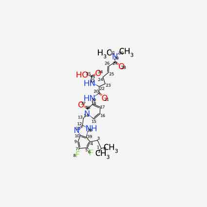 CC(C)Cc1c(F)c(F)cc2nc(Cn3cccc(NC(=O)C(CC/C=C/C(=O)N(C)C)NC(=O)O)c3=O)[nH]c12